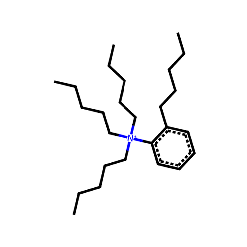 CCCCCc1ccccc1[N+](CCCCC)(CCCCC)CCCCC